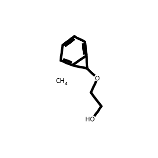 C.OCCOC1c2ccccc21